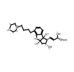 CCCCC[C@H](O)/C=C/[C@@H]1[C@H]2c3cccc(CCCCN4CCOCC4)c3O[C@H]2C[C@H]1O